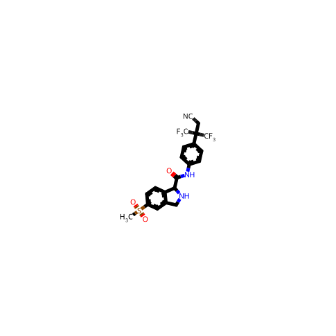 CS(=O)(=O)c1ccc2c(c1)CNC2C(=O)Nc1ccc(C(CC#N)(C(F)(F)F)C(F)(F)F)cc1